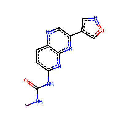 O=C(NI)Nc1ccc2ncc(-c3cnoc3)nc2n1